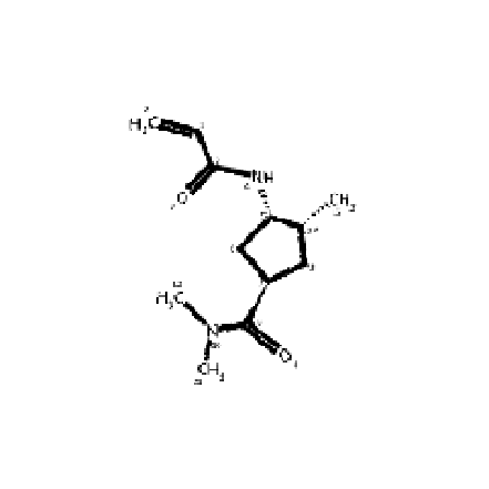 C=CC(=O)N[C@H]1C[C@H](C(=O)N(C)C)C[C@H]1C